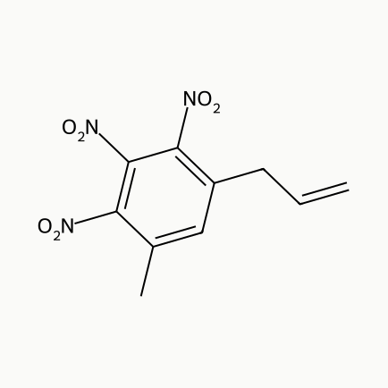 C=CCc1cc(C)c([N+](=O)[O-])c([N+](=O)[O-])c1[N+](=O)[O-]